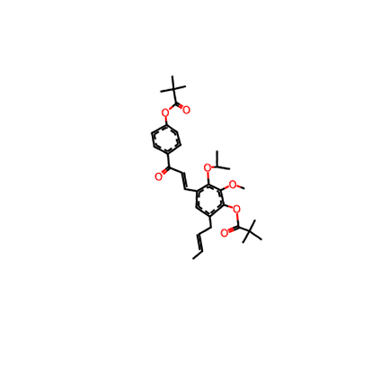 CC=CCc1cc(C=CC(=O)c2ccc(OC(=O)C(C)(C)C)cc2)c(OC(C)C)c(OC)c1OC(=O)C(C)(C)C